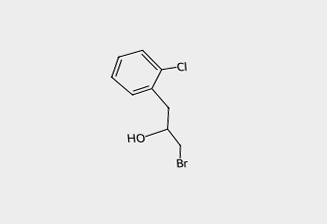 OC(CBr)Cc1ccccc1Cl